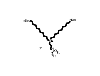 CCCCCCCCCCCCCCCCCCCC[N+](C)(CCCCCCCCCCCCCCCCCCCC)CCC[SiH](OCC)OCC.[Cl-]